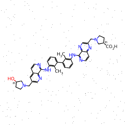 Cc1c(Nc2nccc3cc(CN4CC[C@@H](O)C4)cnc23)cccc1-c1cccc(Nc2nccc3nc(CN4CC[C@@H](C(=O)O)C4)cnc23)c1C